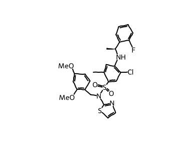 COc1ccc(CN(c2nccs2)S(=O)(=O)c2cc(Cl)c(N[C@@H](C)c3ccccc3F)cc2C)c(OC)c1